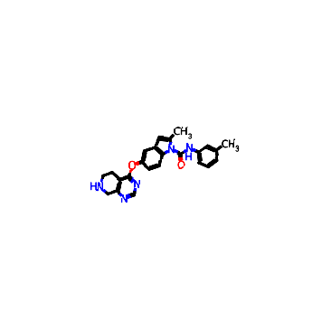 Cc1cccc(NC(=O)n2c(C)cc3cc(Oc4ncnc5c4CCNC5)ccc32)c1